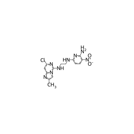 Cc1cn2c(NCCNc3ccc([N+](=O)[O-])c(N)n3)nc(Cl)cc2n1